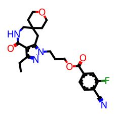 CCc1nn(CCCOC(=O)c2ccc(C#N)c(F)c2)c2c1C(=O)NCC1(CCOCC1)C2